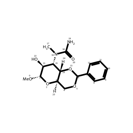 CO[C@H]1O[C@@H]2COC(c3ccccc3)O[C@H]2[C@@H](N(C)C(N)=O)[C@@H]1O